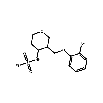 CCS(=O)(=O)NC1CCOCC1COc1ccccc1C(C)=O